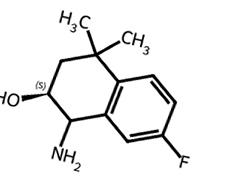 CC1(C)C[C@H](O)C(N)c2cc(F)ccc21